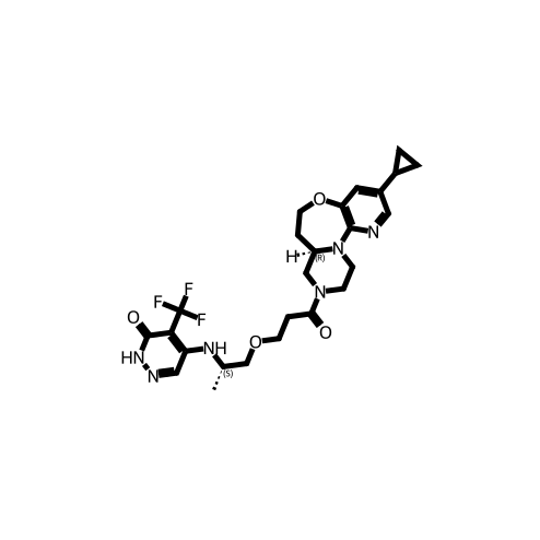 C[C@@H](COCCC(=O)N1CCN2c3ncc(C4CC4)cc3OCC[C@@H]2C1)Nc1cn[nH]c(=O)c1C(F)(F)F